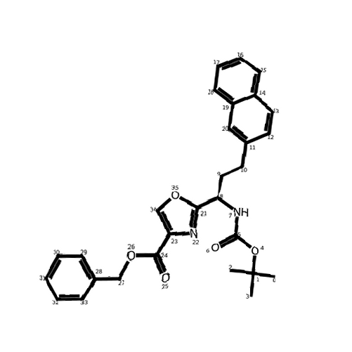 CC(C)(C)OC(=O)N[C@H](CCc1ccc2ccccc2c1)c1nc(C(=O)OCc2ccccc2)co1